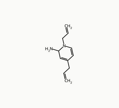 C=CCC1=CC(N)N(CC=C)C=C1